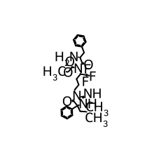 COC(=O)N(C(=O)[C@@H](N)Cc1ccccc1)C(CCCN1C(=N)NC(CC(C)C)(c2ccccc2)C1=O)C(F)(F)F